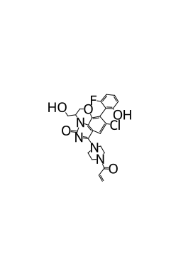 C=CC(=O)N1CCN(c2nc(=O)n3c4c(c(-c5c(O)cccc5F)c(Cl)cc24)OCC3CO)CC1